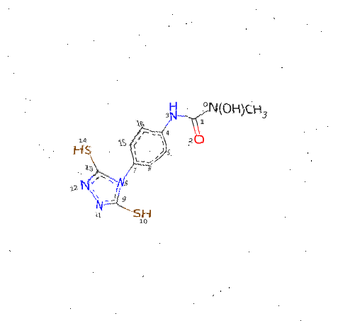 CN(O)C(=O)Nc1ccc(-n2c(S)nnc2S)cc1